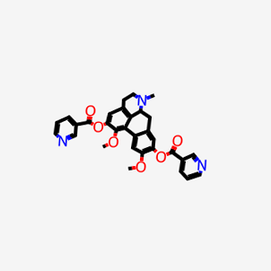 COc1cc2c(cc1OC(=O)c1cccnc1)CC1c3c(cc(OC(=O)c4cccnc4)c(OC)c3-2)CCN1C